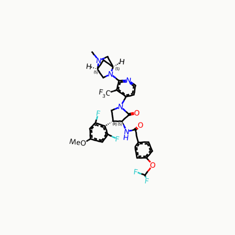 COc1cc(F)c([C@@H]2CN(c3ccnc(N4C[C@@H]5C[C@H]4CN5C)c3C(F)(F)F)C(=O)[C@H]2NC(=O)c2ccc(OC(F)F)cc2)c(F)c1